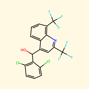 OC(c1c(Cl)cccc1Cl)c1cc(C(F)(F)F)nc2c(C(F)(F)F)cccc12